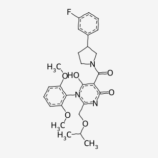 COc1cccc(OC)c1-n1c(COC(C)C)nc(=O)c(C(=O)N2CCC(c3cccc(F)c3)C2)c1O